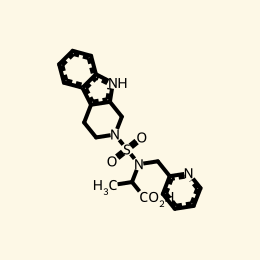 CC(C(=O)O)N(Cc1ccccn1)S(=O)(=O)N1CCc2c([nH]c3ccccc23)C1